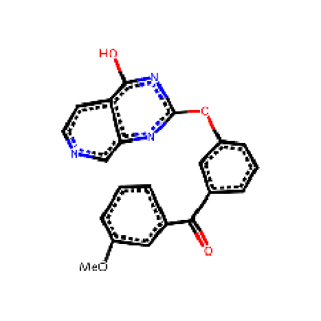 COc1cccc(C(=O)c2cccc(Oc3nc(O)c4ccncc4n3)c2)c1